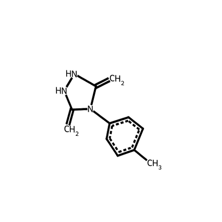 C=C1NNC(=C)N1c1ccc(C)cc1